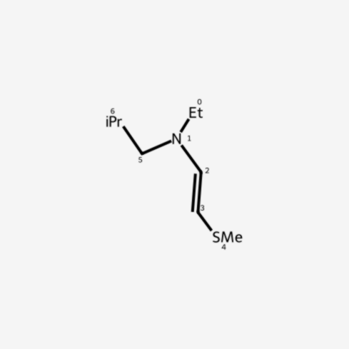 CCN(/C=C/SC)CC(C)C